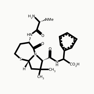 CN[C@@H](N)C(=O)N[C@H]1CCS[C@H]2CC(C)(C)[C@@H](C(=O)NC(C(=O)O)c3ccccc3)N2C1=O